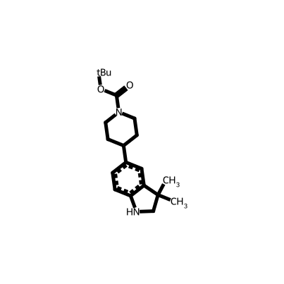 CC(C)(C)OC(=O)N1CCC(c2ccc3c(c2)C(C)(C)CN3)CC1